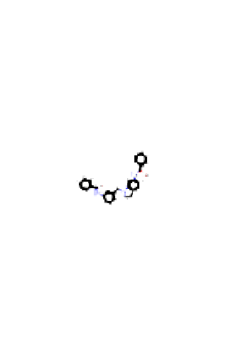 O=C(Nc1cccc(CN2CCc3ccc(NC(=O)c4ccccc4)cc32)c1)c1ccccc1